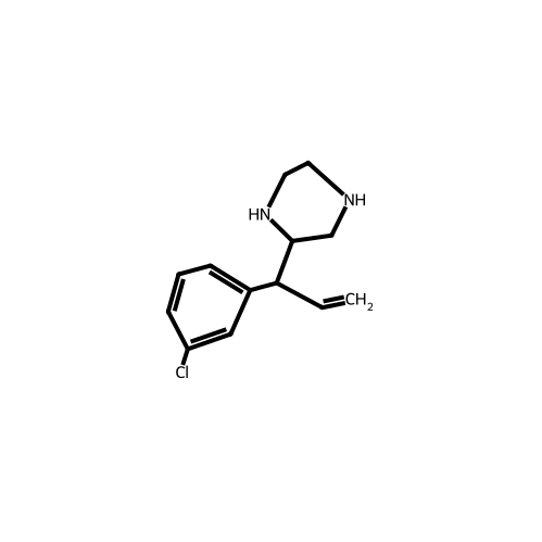 C=CC(c1cccc(Cl)c1)C1CNCCN1